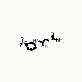 NC(=O)OCC(O)Nc1cccc([N+](=O)[O-])c1